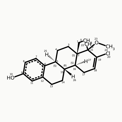 CC[C@]12CC[C@@H]3c4ccc(O)cc4CC[C@H]3[C@@H]1CC=C(Cl)C2(C)OC